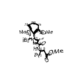 CCC(C)Cn1nc(C(=O)NC(CC(=O)OC)C(C)C)cc1-c1c(OC)cccc1OC